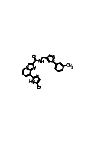 Cc1cccc(-n2cc(CNC(=O)c3cn4cccc(-c5ncc(Cl)[nH]5)c4n3)cn2)c1